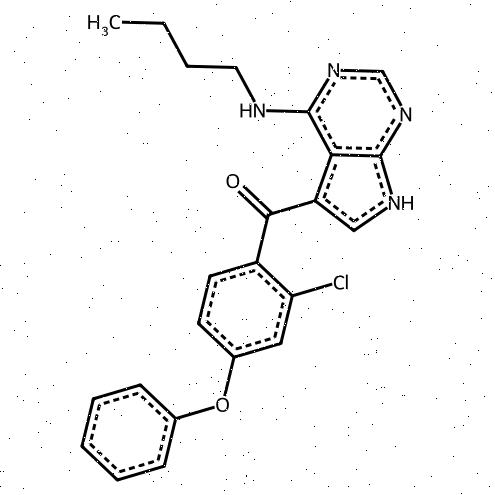 CCCCNc1ncnc2[nH]cc(C(=O)c3ccc(Oc4ccccc4)cc3Cl)c12